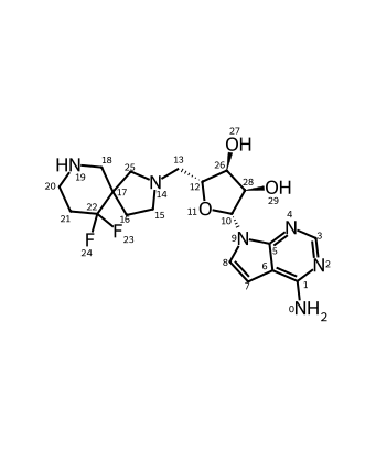 Nc1ncnc2c1ccn2[C@@H]1O[C@H](CN2CCC3(CNCCC3(F)F)C2)[C@@H](O)[C@H]1O